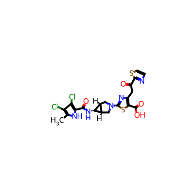 Cc1[nH]c(C(=O)N[C@@H]2[C@@H]3CN(c4nc(CC(=O)c5nccs5)c(C(=O)O)s4)C[C@@H]32)c(Cl)c1Cl